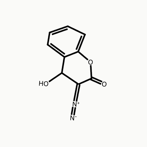 [N-]=[N+]=C1C(=O)Oc2ccccc2C1O